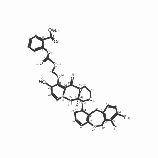 COC(=O)c1ccccc1OC(=O)OCOC1=C2C(=O)N3CCO[C@@H](C4CC=CC5=C4Cc4ccc(F)c(F)c4CS5)[C@H]3NN2C=CC1O